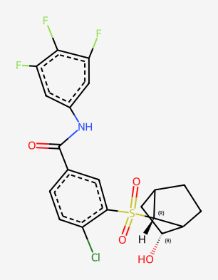 O=C(Nc1cc(F)c(F)c(F)c1)c1ccc(Cl)c(S(=O)(=O)[C@@H]2C3CCC2[C@H](O)C3)c1